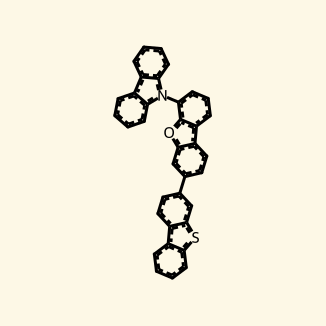 c1ccc2c(c1)sc1cc(-c3ccc4c(c3)oc3c(-n5c6ccccc6c6ccccc65)cccc34)ccc12